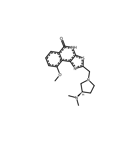 COc1cccc2c(=O)[nH]c3sc(CN4CC[C@@H](N(C)C)C4)nc3c12